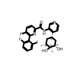 C[C@@H]1C[C@H](c2ccncc2NC(=O)c2ccc(F)c(-c3c(F)cccc3F)n2)C[C@H](O)[C@@]1(C)O